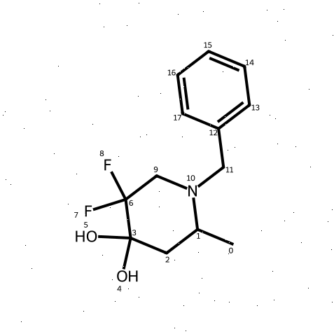 CC1CC(O)(O)C(F)(F)CN1Cc1ccccc1